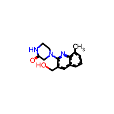 Cc1cccc2cc(CO)c(N3CCNC(=O)C3)nc12